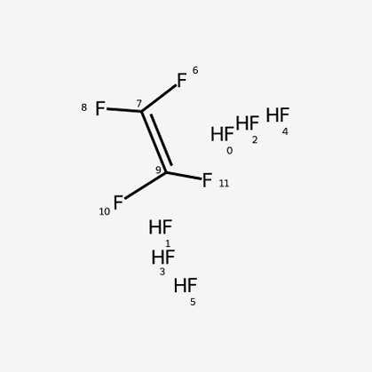 F.F.F.F.F.F.FC(F)=C(F)F